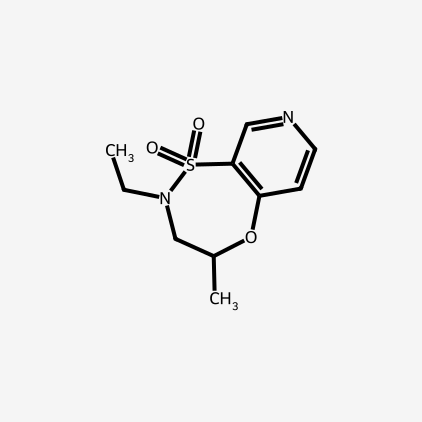 CCN1CC(C)Oc2ccncc2S1(=O)=O